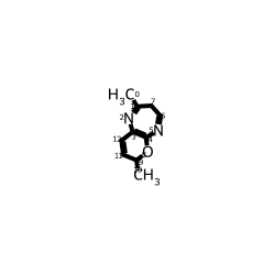 CC1=NC2=C(N=CC1)OC(C)C=C2